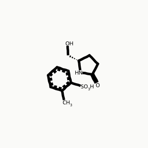 Cc1ccccc1S(=O)(=O)O.O=C1CC[C@@H](CO)N1